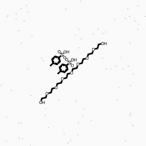 Cc1ccc(S(=O)(=O)O)cc1.Cc1ccc(S(=O)(=O)O)cc1.OCCOCCOCCOCCOCCOCCOCCOCCO